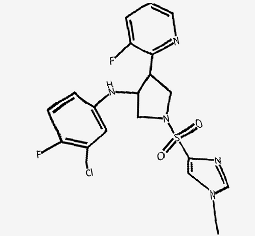 Cn1cnc(S(=O)(=O)N2CC(Nc3ccc(F)c(Cl)c3)C(c3ncccc3F)C2)c1